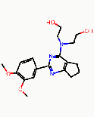 COc1ccc(-c2nc3c(c(N(CCO)CCO)n2)CCC3)cc1OC